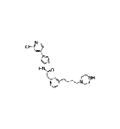 O=C(Cc1cccc(CCCCN2CCNCC2)c1)Nc1cc(-c2ccnc(Cl)c2)cs1